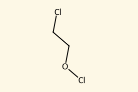 ClCCOCl